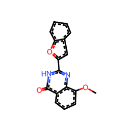 COc1cccc2c(=O)[nH]c(-c3cc4ccccc4o3)nc12